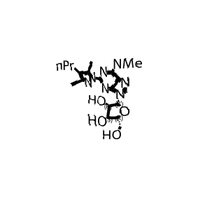 CCCc1c(C)nn(-c2nc(NC)c3ncn([C@@H]4O[C@H](CO)[C@@H](O)[C@H]4O)c3n2)c1C